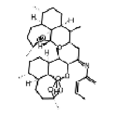 C=C(/C=C\C)/N=C(/C[C@H]1O[C@@H]2O[C@]3(C)CC[C@H]4[C@H](C)CC[C@@H]([C@H]1C)[C@@]24OO3)[C@H]1O[C@@H]2O[C@]3(C)CC[C@H]4[C@H](C)CC[C@@H]([C@H]1C)[C@@]24OO3